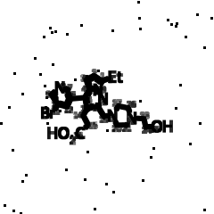 CCc1ccc2c(-c3cncc(Br)c3)c(CCC(=O)O)c(CN3CCN(CCO)CC3)nn12